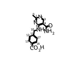 Cc1ncc(C(N)=O)c(NCc2ccc(C(=O)O)cc2)n1